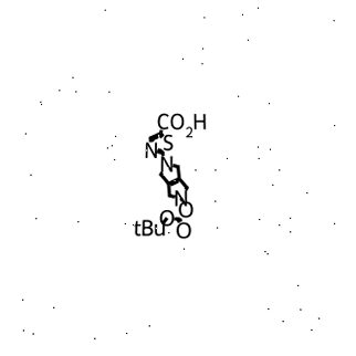 CC(C)(C)OC(=O)ON1CC2=C(C1)CN(c1ncc(C(=O)O)s1)C2